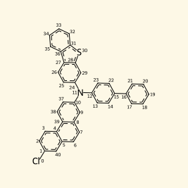 Clc1ccc2c(ccc3cc(N(c4ccc(-c5ccccc5)cc4)c4ccc5c(c4)sc4ccccc45)ccc32)c1